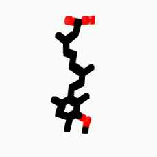 COc1c(C)cc(C)c(C=CC(C)=CC=CC(C)=CC(=O)O)c1C